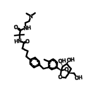 Cc1ccc([C@@]23OC[C@@](CO)(C[C@H](O)[C@H]2O)O3)cc1Cc1ccc(CCCC(=O)NC(C)(C)C(=O)NCCN(C)C)cc1